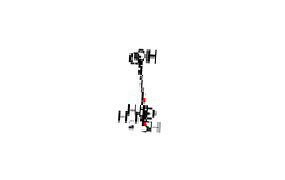 NC(CCS)C(=O)NCCCCCCCCCCCCCCCC(=O)O